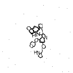 N#Cc1cnc2cc(OCCC3CCCN3)cc(OC3CCOCC3)c2c1Nc1cc(Cl)cc2occc12